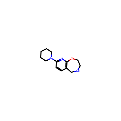 c1cc2c(nc1N1CCCCC1)OCCNC2